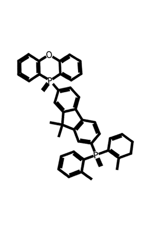 C=P(C1=C(C)CCC=C1)(c1ccc2c(c1)C(C)(C)c1cc(P3(=C)C4=C(C=C=C=C4)Oc4ccccc43)ccc1-2)c1ccccc1C